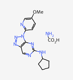 COc1ccc(-n2nnc3cnc(NC4CCCC4)nc32)nc1.NC(=O)O